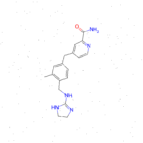 Cc1cc(Cc2ccnc(C(N)=O)c2)ccc1CNC1=NCCN1